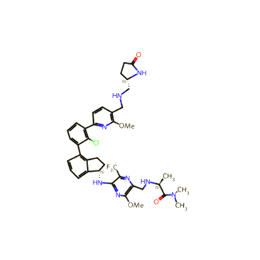 COc1nc(-c2cccc(-c3cccc4c3CC[C@@H]4Nc3nc(OC)c(CN[C@@H](C)C(=O)N(C)C)nc3C(F)(F)F)c2Cl)ccc1CNC[C@@H]1CCC(=O)N1